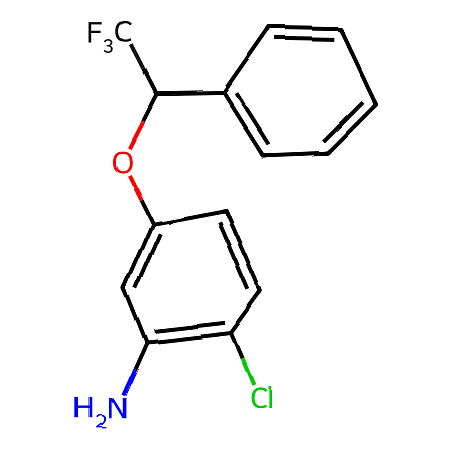 Nc1cc(OC(c2ccccc2)C(F)(F)F)ccc1Cl